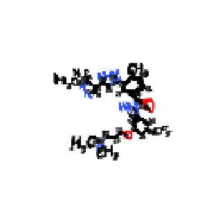 Cc1ccc(C(=O)Nc2cc(OCCCN(C)C)cc(C(F)(F)F)c2)cc1-n1cc(-c2cnn(C)c2C)nn1